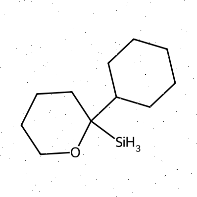 [SiH3]C1(C2CCCCC2)CCCCO1